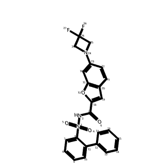 O=C(NS(=O)(=O)c1ccccc1-c1ccccc1)c1cc2ccc(N3CC(F)(F)C3)cc2o1